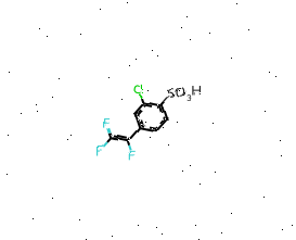 O=S(=O)(O)c1ccc(C(F)=C(F)F)cc1Cl